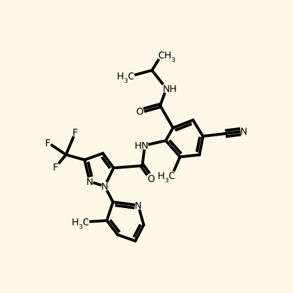 Cc1cccnc1-n1nc(C(F)(F)F)cc1C(=O)Nc1c(C)cc(C#N)cc1C(=O)NC(C)C